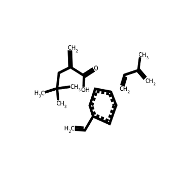 C=C(CC(C)(C)C)C(=O)O.C=CC(=C)C.C=Cc1ccccc1